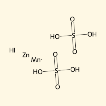 I.O=S(=O)(O)O.O=S(=O)(O)O.[Mn].[Zn]